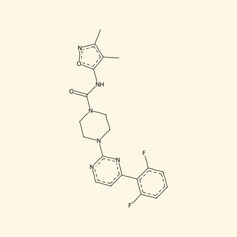 Cc1noc(NC(=O)N2CCN(c3nccc(-c4c(F)cccc4F)n3)CC2)c1C